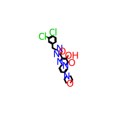 O=c1c(O)c(-c2nc(Cc3ccc(Cl)c(Cl)c3)no2)nc2ccc(N3CCOCC3)cn12